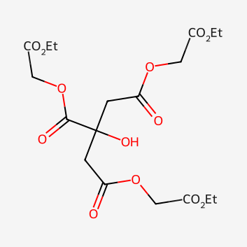 CCOC(=O)COC(=O)CC(O)(CC(=O)OCC(=O)OCC)C(=O)OCC(=O)OCC